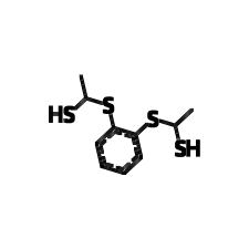 CC(S)Sc1ccccc1SC(C)S